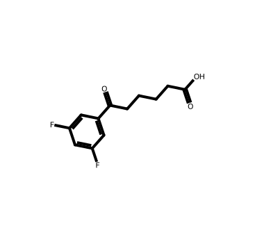 O=C(O)CCCCC(=O)c1cc(F)cc(F)c1